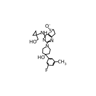 Cc1cc(F)cc(C2(O)CCN(c3nc4c(c(NC5(CO)CC5)n3)[S+]([O-])CC4)CC2)c1